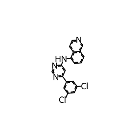 Clc1cc(Cl)cc(-c2cc(Nc3cccc4cnccc34)ncn2)c1